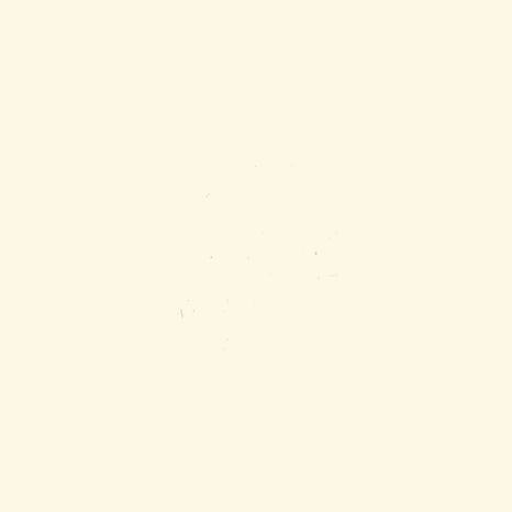 C=CCS(=O)(=O)O.O=S(=O)(O)c1cccc2ccccc12